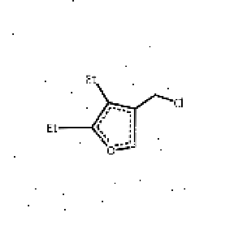 CCc1occ(CCl)c1CC